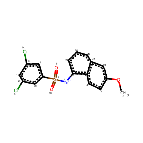 COc1ccc2c(NS(=O)(=O)c3cc(Cl)cc(Cl)c3)cccc2c1